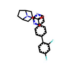 O=C(c1ccc(-c2ccc(F)cc2F)cc1)C1CC2CCC(C1)N2c1ncccn1